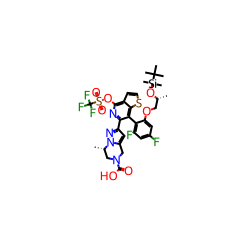 C[C@H](COc1cc(F)cc(F)c1-c1c(-c2cc3n(n2)[C@@H](C)CN(C(=O)O)C3)nc(OS(=O)(=O)C(F)(F)F)c2ccsc12)O[Si](C)(C)C(C)(C)C